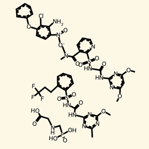 COc1cc(OC)nc(NC(=O)NS(=O)(=O)c2ncccc2C(=O)N(C)C)n1.COc1nc(C)nc(NC(=O)NS(=O)(=O)c2ccccc2CCC(F)(F)F)n1.Nc1c([N+](=O)[O-])ccc(Oc2ccccc2)c1Cl.O=C(O)CNCP(=O)(O)O